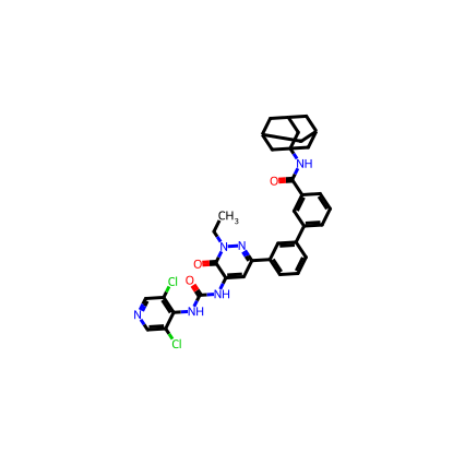 CCn1nc(-c2cccc(-c3cccc(C(=O)NC45CC6CC(CC(C6)C4)C5)c3)c2)cc(NC(=O)Nc2c(Cl)cncc2Cl)c1=O